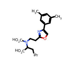 Cc1cc(C)cc(-c2coc(CCN(C(=O)O)C(CC(C)C)C(=O)O)n2)c1